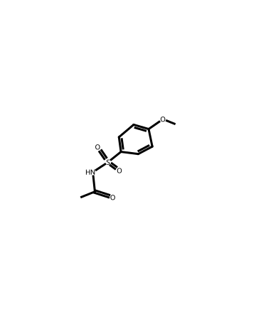 COc1ccc(S(=O)(=O)NC(C)=O)cc1